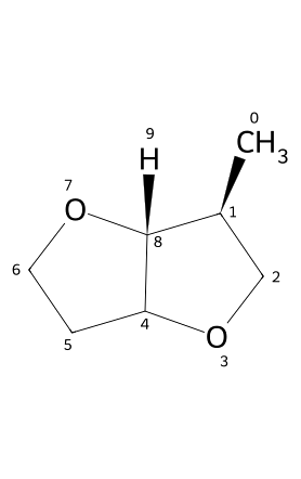 C[C@H]1COC2CCO[C@@H]21